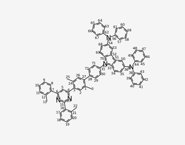 Cc1cc(-c2cc(-c3ccccc3C)nc(-c3ccccc3C)n2)c(C)cc1-c1ccc(-n2c3ccc(N(c4ccccc4)c4ccccc4)cc3c3cc(N(c4ccccc4)c4ccccc4)ccc32)cc1